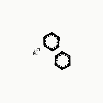 Cl.[Ru].c1ccccc1.c1ccccc1